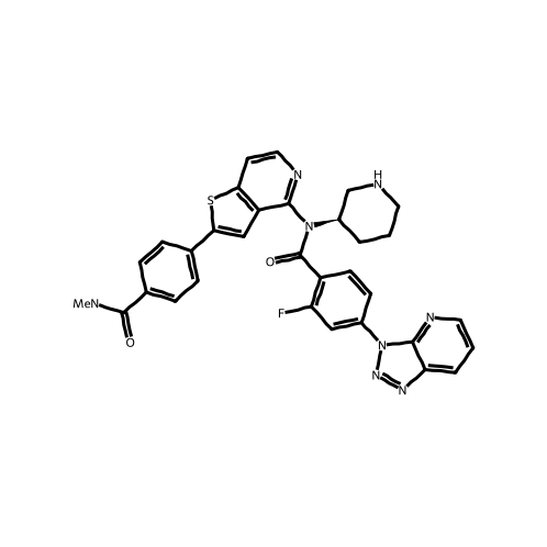 CNC(=O)c1ccc(-c2cc3c(N(C(=O)c4ccc(-n5nnc6cccnc65)cc4F)[C@@H]4CCCNC4)nccc3s2)cc1